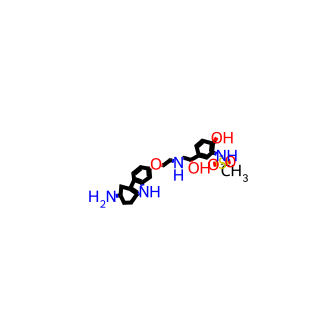 CS(=O)(=O)Nc1cc(C(O)CNCCOc2ccc3c4c([nH]c3c2)CCC(N)C4)ccc1O